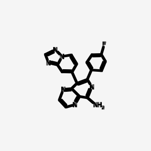 Nc1nc(-c2ccc(F)cc2)c(-c2ccn3ncnc3c2)c2nccnc12